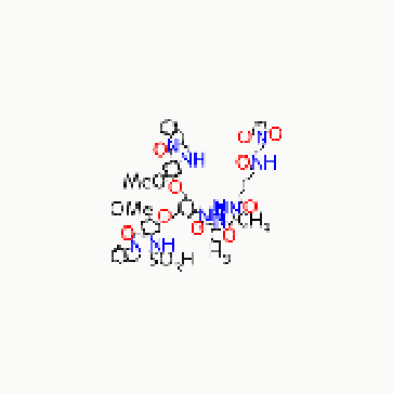 COc1cc2c(cc1OCc1cc(COc3cc4c(cc3OC)C(=O)N3c5ccccc5CC3C(S(=O)(=O)O)N4)cc(NC(=O)C(C)NC(=O)C(C)NC(=O)CCCCC(=O)NCCN3C(=O)C=CC3=O)c1)NCC1Cc3ccccc3N1C2=O